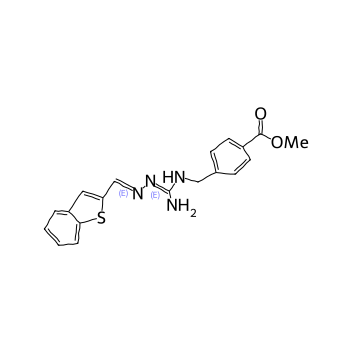 COC(=O)c1ccc(CN/C(N)=N/N=C/c2cc3ccccc3s2)cc1